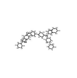 c1ccc(-c2ccc(N(c3ccc(-c4ccc5oc6cc7oc(-c8ccccc8)nc7cc6c5c4)cc3)c3ccc4ccccc4c3)cc2)cc1